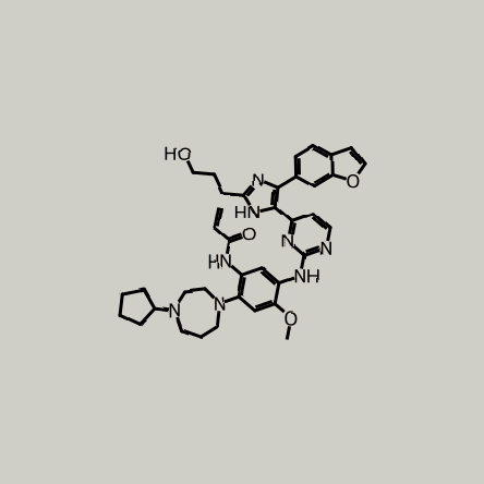 C=CC(=O)Nc1cc(Nc2nccc(-c3[nH]c(CCCO)nc3-c3ccc4ccoc4c3)n2)c(OC)cc1N1CCCN(C2CCCC2)CC1